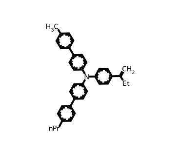 C=C(CC)c1ccc(N(c2ccc(-c3ccc(C)cc3)cc2)c2ccc(-c3ccc(CCC)cc3)cc2)cc1